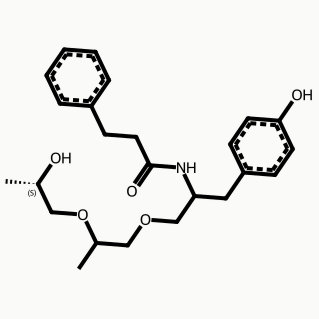 CC(COCC(Cc1ccc(O)cc1)NC(=O)CCc1ccccc1)OC[C@H](C)O